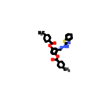 CC1CCC(C(=O)Oc2ccc(OC(=O)C3CCC(C)CC3)c(/C=N/Nc3nc4ccccc4s3)c2)CC1